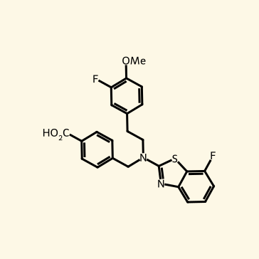 COc1ccc(CCN(Cc2ccc(C(=O)O)cc2)c2nc3cccc(F)c3s2)cc1F